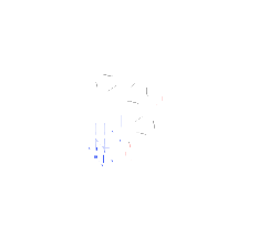 Cc1cc(OC(CC(C)C)c2ccc(C(=O)Nc3nnn[nH]3)cc2)cc(C)c1-c1ccc(C(C)(C)C)cc1